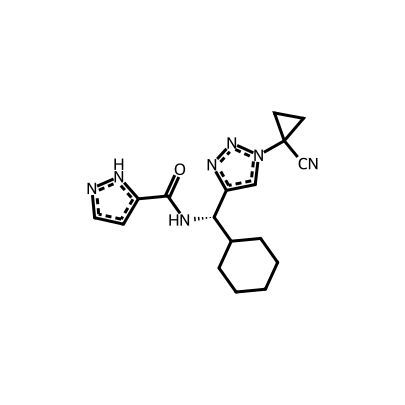 N#CC1(n2cc([C@@H](NC(=O)c3ccn[nH]3)C3CCCCC3)nn2)CC1